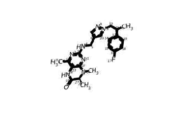 Cc1nc(NCc2cnn(CC(C)c3ccc(F)cc3)c2)nc2c1NC(=O)[C@H](C)N2C